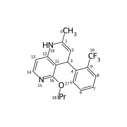 CC1=CC(c2ccccc2C(F)(F)F)c2c(ccnc2OC(C)C)N1